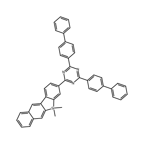 C[Si]1(C)c2cc(-c3nc(-c4ccc(-c5ccccc5)cc4)nc(-c4ccc(-c5ccccc5)cc4)n3)ccc2-c2cc3ccccc3cc21